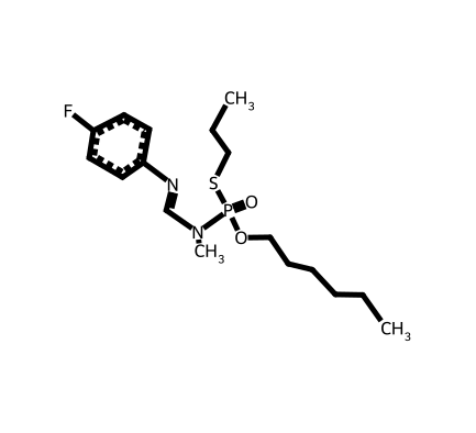 CCCCCCOP(=O)(SCCC)N(C)C=Nc1ccc(F)cc1